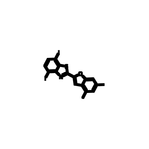 Cc1cc(C)c2cc(-c3nc4c(I)ccc(I)c4s3)oc2c1